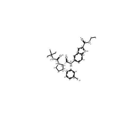 CCOC(=O)c1cc2cc(NC(=O)[C@@H]3[C@H](c4ccc(F)cc4)CCN3C(=O)OC(C)(C)C)ccc2o1